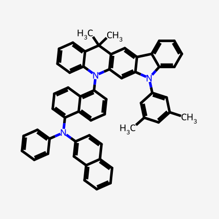 Cc1cc(C)cc(-n2c3ccccc3c3cc4c(cc32)N(c2cccc3c(N(c5ccccc5)c5ccc6ccccc6c5)cccc23)c2ccccc2C4(C)C)c1